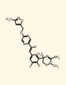 Cc1cc(COc2cnc(C(F)=Cc3cc(F)c(F)c(C4(C)CSN(C)C(N)=N4)c3)cn2)on1